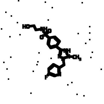 CN1NC(c2ccc(S(=O)(=O)NCCO)cc2)=NN1Cc1ccc(F)cn1